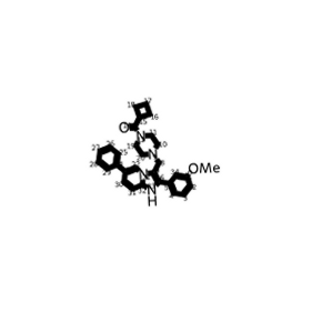 COc1cccc(C2=C(CN3CCN(C(=O)C4CCC4)CC3)N3C=C(c4ccccc4)C=CC3N2)c1